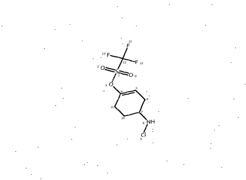 O=S(=O)(OC1=CCC(NCl)CC1)C(F)(F)F